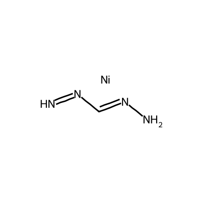 N=NC=NN.[Ni]